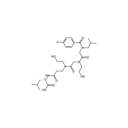 CC(C)C[C@H](NC(=O)CCN(CCO)C(=O)CN(CCO)C(=O)CN(CC(C)C)C(=O)c1ccc(F)cc1)C(=O)O